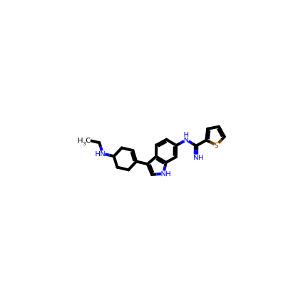 CCNC1CC=C(c2c[nH]c3cc(NC(=N)c4cccs4)ccc23)CC1